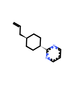 C=CC[C@H]1CC[C@H](c2ncccn2)CC1